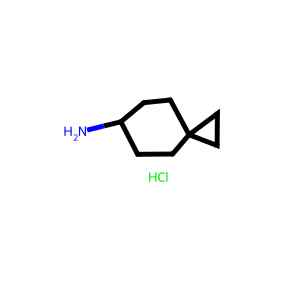 Cl.NC1CCC2(CC1)CC2